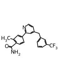 Cc1cc(-c2cc(Cc3cccc(C(F)(F)F)c3)ccn2)ccc1C(N)=O